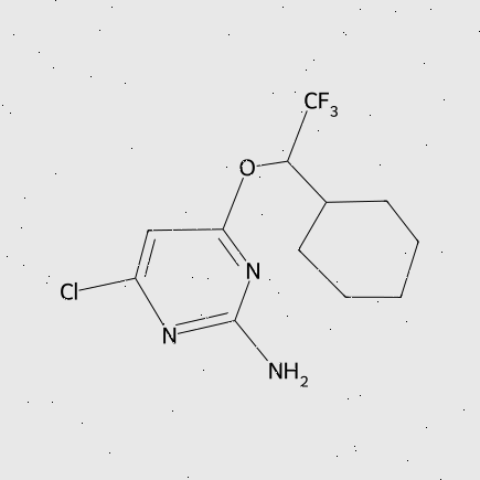 Nc1nc(Cl)cc(OC(C2CCCCC2)C(F)(F)F)n1